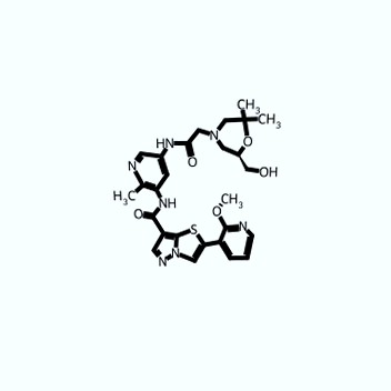 COc1ncccc1-c1cn2ncc(C(=O)Nc3cc(NC(=O)CN4C[C@H](CO)OC(C)(C)C4)cnc3C)c2s1